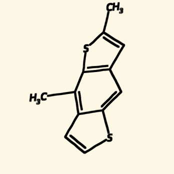 Cc1cc2cc3sccc3c(C)c2s1